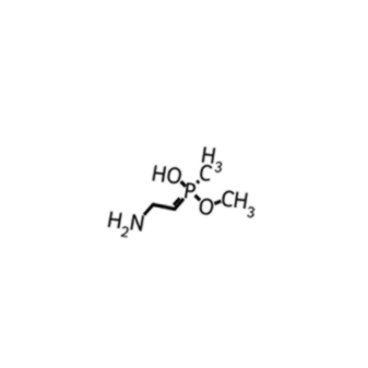 COP(C)(O)=CCN